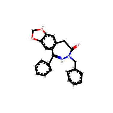 O=C1Cc2cc3c(cc2C(c2ccccc2)=NN1Cc1ccccc1)OCO3